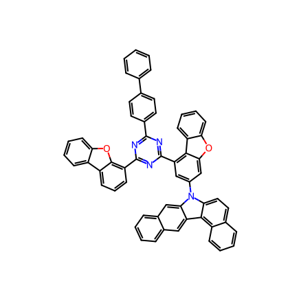 c1ccc(-c2ccc(-c3nc(-c4cccc5c4oc4ccccc45)nc(-c4cc(-n5c6cc7ccccc7cc6c6c7ccccc7ccc65)cc5oc6ccccc6c45)n3)cc2)cc1